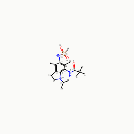 Cc1c2c(c(NC(=O)C(C)(C)C)c(C)c1NS(C)(=O)=O)N(C(C)C)CC2